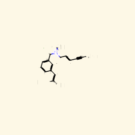 CC(C)=Cc1cccc(CN(C)C/C=C/C#CC(C)(C)C)c1.Cl